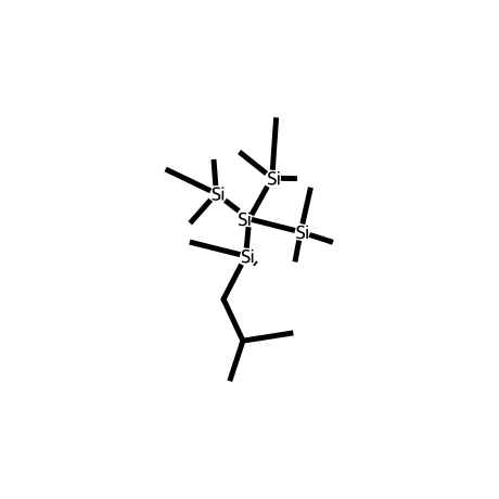 CC(C)C[Si](C)(C)[Si]([Si](C)(C)C)([Si](C)(C)C)[Si](C)(C)C